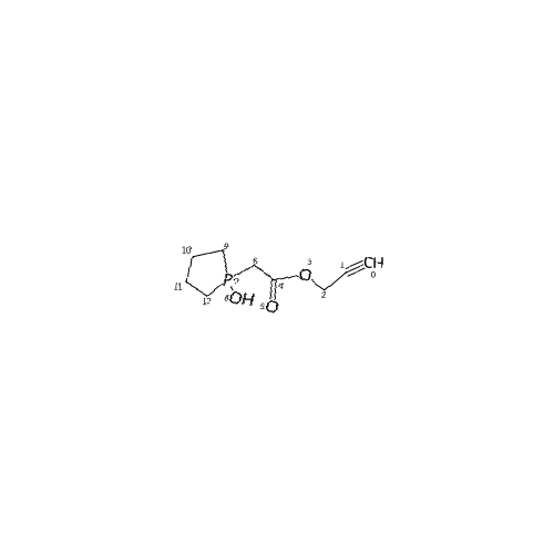 C#CCOC(=O)C[P]1(O)CCCC1